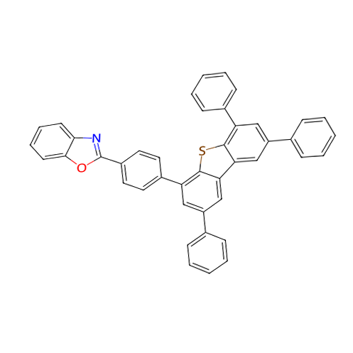 c1ccc(-c2cc(-c3ccccc3)c3sc4c(-c5ccc(-c6nc7ccccc7o6)cc5)cc(-c5ccccc5)cc4c3c2)cc1